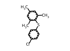 Cc1cc(C)c(Sc2ccc(Cl)cc2)c(C)c1